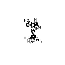 COc1cc(-n2cnc(Nc3nc(N4CCCC4CO)nc4[nH]cc(C#N)c34)c2)cc(OC)c1OC